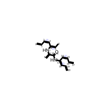 C=C/C=C\C(=C/C)NC(=C)C(=O)NC(/C=C\C=C)=C/C=C